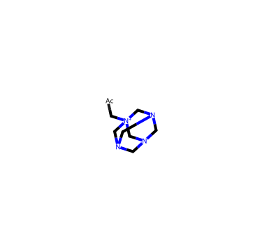 CC(=O)C[N+]12CN3CN(CN(C3)C1)C2